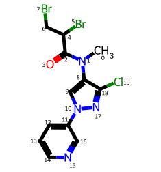 CN(C(=O)C(Br)CBr)c1cn(-c2cccnc2)nc1Cl